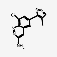 Cc1cnsc1-c1cc(Cl)c2nnc(N)cc2c1